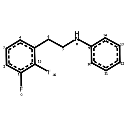 Fc1cccc(CCNc2cc[c]cc2)c1F